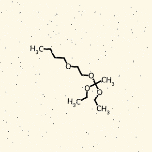 CCCCOCCOC(C)(OCC)OCC